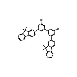 CC1(C)c2ccccc2-c2ccc(-c3cc(Br)cc(-c4cc(Br)cc(-c5ccc6c(c5)C(C)(C)c5ccccc5-6)c4)c3)cc21